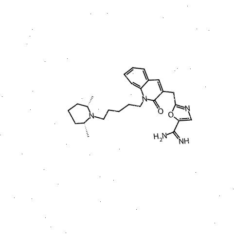 C[C@@H]1CCC[C@H](C)N1CCCCCn1c(=O)c(Cc2ncc(C(=N)N)o2)cc2ccccc21